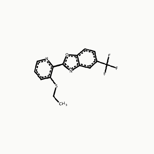 CCSc1cccnc1-c1nc2cc(C(F)(F)F)ccc2o1